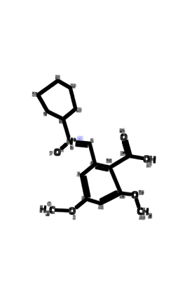 COc1cc(/C=[N+](\[O-])C2CCCCC2)c(C(=O)O)c(OC)c1